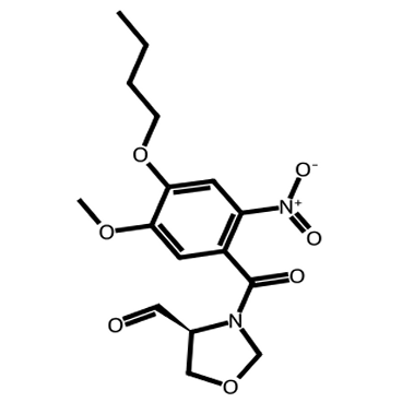 CCCCOc1cc([N+](=O)[O-])c(C(=O)N2COC[C@H]2C=O)cc1OC